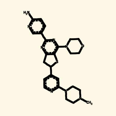 CN1CCN(c2cc(C3Cc4nc(-c5ccc(N)nc5)nc(N5CCOCC5)c4S3)ccn2)CC1